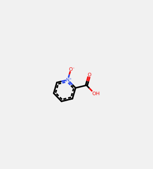 O=C(O)c1cccc[n+]1[O-]